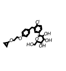 OCC1O[C@@H](c2ccc(Cl)c(Cc3ccc(OCCOC4CC4)cc3)c2)C(O)[C@@H](O)[C@@H]1O